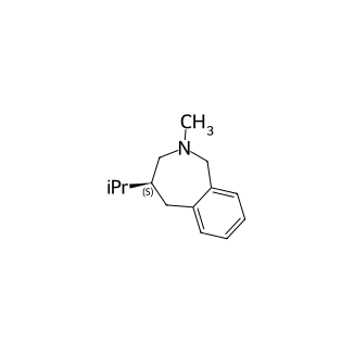 CC(C)[C@@H]1Cc2ccccc2CN(C)C1